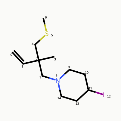 C=CC(C)(CSC)CN1CCC(I)CC1